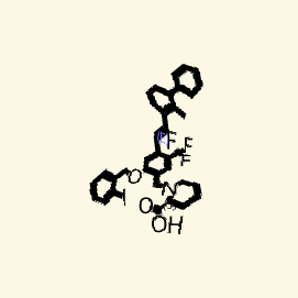 Cc1c(/C=C/c2cc(OCc3ccccc3I)c(CN3CCCC[C@H]3C(=O)O)cc2C(F)(F)F)cccc1-c1ccccc1